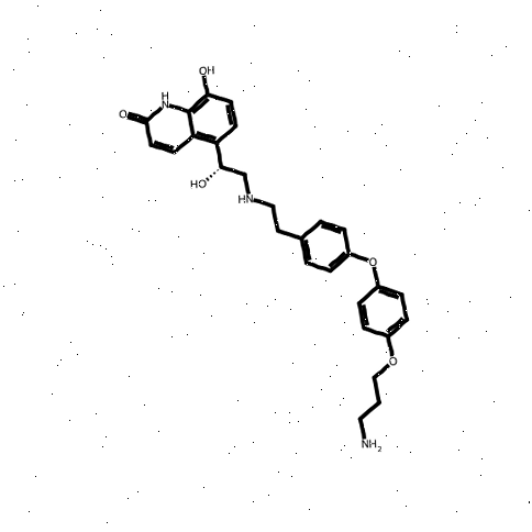 NCCCOc1ccc(Oc2ccc(CCNC[C@H](O)c3ccc(O)c4[nH]c(=O)ccc34)cc2)cc1